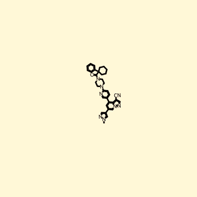 Cn1cc(-c2cc(-c3ccc(N4CCN(C(=O)C5(c6ccccc6)CCCCC5)CC4)nc3)c3c(C#N)cnn3c2)cn1